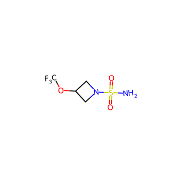 NS(=O)(=O)N1CC(OC(F)(F)F)C1